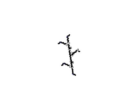 CC/C=C\CCCCOC(CCC(=O)OCCCCC(CCCCOC(=O)CCC(OCCCC/C=C\CC)OCCCC/C=C\CC)OC(=O)OCCCN(C)CC)OCCCC/C=C\CC